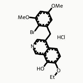 CCOc1ccc2c(Cc3cc(OC)cc(OC)c3Br)cncc2c1O.Cl